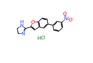 Cl.O=[N+]([O-])c1cccc(-c2ccc3oc(C4=NCCN4)cc3c2)c1